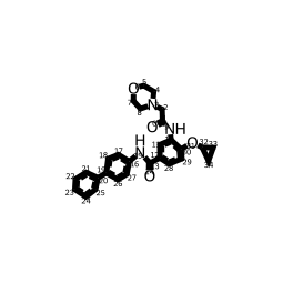 O=C(CN1CCOCC1)Nc1cc(C(=O)Nc2ccc(-c3ccccc3)cc2)ccc1OC1CC1